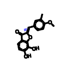 COc1ccc(/C=C2\Oc3c(ccc(O)c3O)C2=O)cc1C